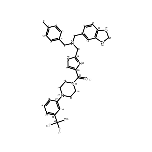 Cc1ccc(CN(Cc2ccc3c(c2)OCO3)Cc2nc(C(=O)N3CCN(c4cccc(C(F)(F)F)c4)CC3)cs2)cc1